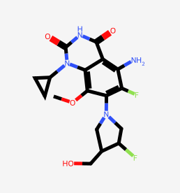 COc1c(N2CC(F)C(CO)C2)c(F)c(N)c2c(=O)[nH]c(=O)n(C3CC3)c12